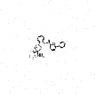 C=C(Cc1ccccc1C1CCC(N)(C(N)=O)CC1)c1cc#cc(-c2ccccc2)n1